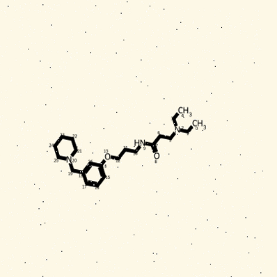 CCN(CC)CCC(=O)NCCCOc1cccc(CN2CCCCC2)c1